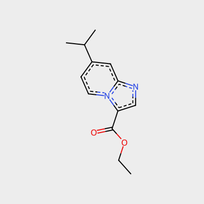 CCOC(=O)c1cnc2cc(C(C)C)ccn12